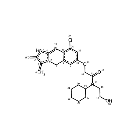 C=c1c(=O)[nH]c2n1Cc1cc(OCC(=O)N(CCO)C3CCCCC3)cc(Cl)c1N=2